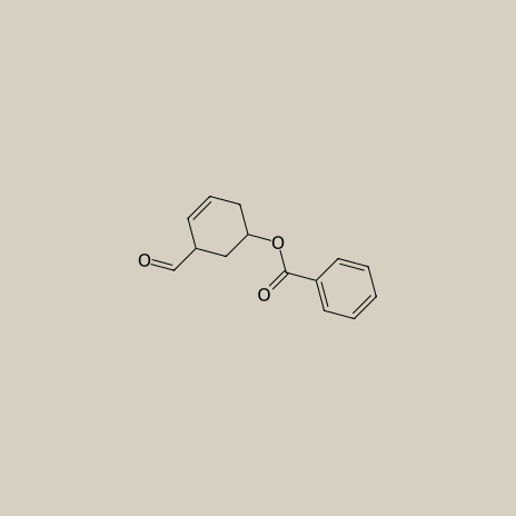 O=CC1C=CCC(OC(=O)c2ccccc2)C1